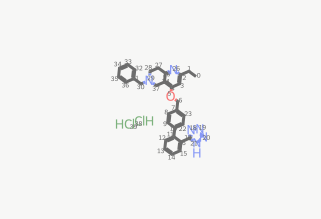 CCc1cc(OCc2ccc(-c3ccccc3-c3nnn[nH]3)cc2)c2c(n1)CCN(Cc1ccccc1)C2.Cl.Cl